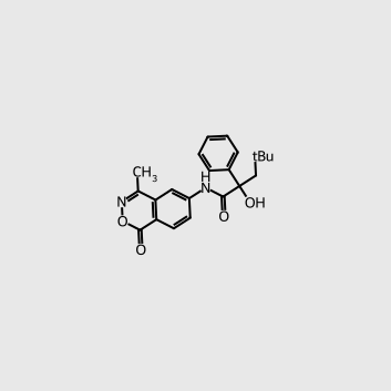 Cc1noc(=O)c2ccc(NC(=O)C(O)(CC(C)(C)C)c3ccccc3)cc12